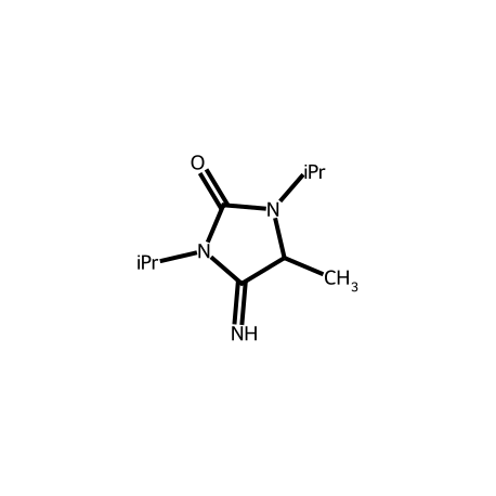 CC(C)N1C(=N)C(C)N(C(C)C)C1=O